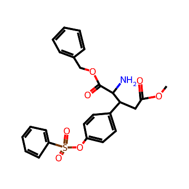 COC(=O)CC(c1ccc(OS(=O)(=O)c2ccccc2)cc1)C(N)C(=O)OCc1ccccc1